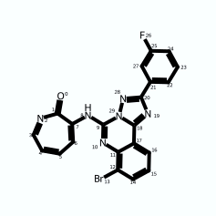 O=c1nccccc1Nc1nc2c(Br)cccc2c2nc(-c3cccc(F)c3)nn12